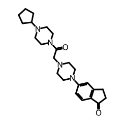 O=C1CCc2cc(N3CCN(CC(=O)N4CCN(C5CCCC5)CC4)CC3)ccc21